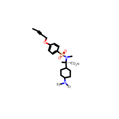 CC#CCOc1ccc(S(=O)(=O)N(C)[C@@](C)(C(=O)O)C2CCC(N(CC)CC)CC2)cc1